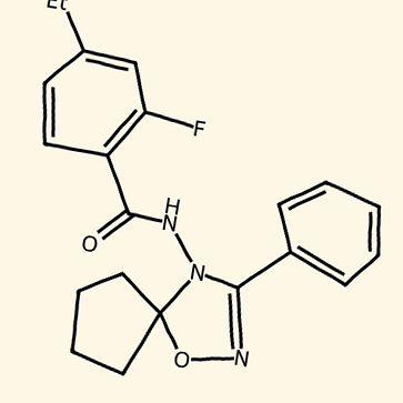 CCc1ccc(C(=O)NN2C(c3ccccc3)=NOC23CCCC3)c(F)c1